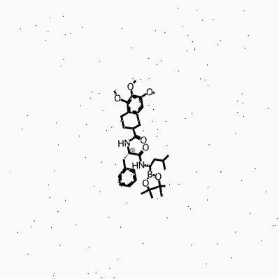 COc1cc2c(c(OC)c1OC)CCC(C(=O)N[C@@H](Cc1ccccc1)C(=O)NC(CC(C)C)B1OC(C)(C)C(C)(C)O1)C2